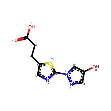 O=C(O)CCc1cnc(-n2cc(O)cn2)s1